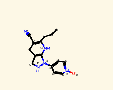 CCCC1=C(C#N)CC2=C(N1)N(c1cc[n+]([O-])cc1)NC2